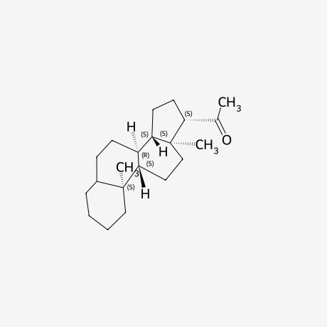 CC(=O)[C@H]1CC[C@H]2[C@@H]3CCC4CCCC[C@]4(C)[C@H]3CC[C@]12C